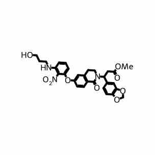 COC(=O)CC(c1ccc2c(c1)OCO2)N1CCc2cc(Oc3cccc(NCCCO)c3[N+](=O)[O-])ccc2C1=O